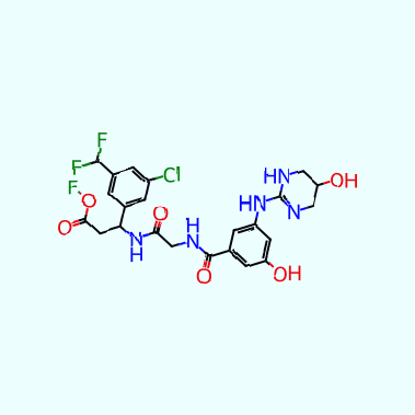 O=C(CNC(=O)c1cc(O)cc(NC2=NCC(O)CN2)c1)NC(CC(=O)OF)c1cc(Cl)cc(C(F)F)c1